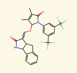 CC1=C(C)C(O/C=C2/C(=O)NC3c4ccccc4CC23)N(c2cc(C(F)(F)F)cc(C(F)(F)F)c2)C1=O